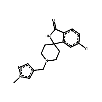 Cn1cc(CN2CCC3(CC2)NC(=O)c2ccc(Cl)cc23)cn1